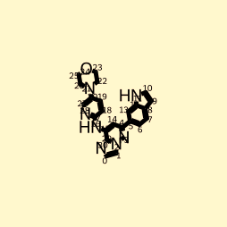 c1cn2nc(-c3ccc4cc[nH]c4c3)cc(Nc3ccc(N4CCOCC4)cn3)c2n1